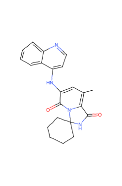 Cc1cc(Nc2ccnc3ccccc23)c(=O)n2c1C(=O)NC21CCCCC1